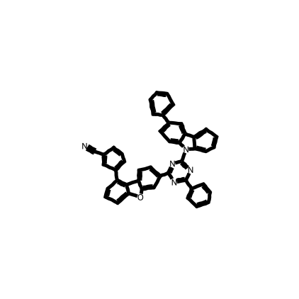 N#Cc1cccc(-c2cccc3oc4cc(-c5nc(-c6ccccc6)nc(-n6c7ccccc7c7cc(-c8ccccc8)ccc76)n5)ccc4c23)c1